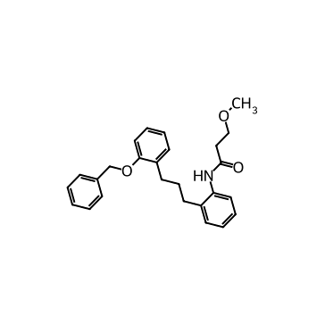 COCCC(=O)Nc1ccccc1CCCc1ccccc1OCc1ccccc1